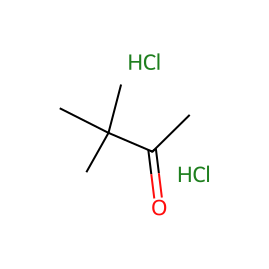 CC(=O)C(C)(C)C.Cl.Cl